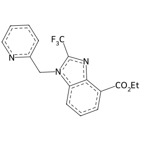 CCOC(=O)c1cccc2c1nc(C(F)(F)F)n2Cc1ccccn1